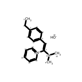 CCc1ccc(C=C(N(C)C)[n+]2ccccc2)cc1.[OH-]